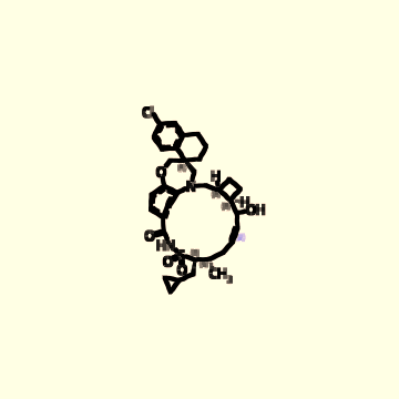 C[C@H]1C/C=C\C(O)[C@@H]2CC[C@H]2CN2C[C@@]3(CCCc4cc(Cl)ccc43)COc3ccc(cc32)C(=O)NS(=O)(=O)[C@@H]1CC1CC1